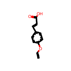 C=COc1ccc(C=CC(=O)O)cc1